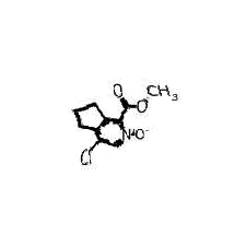 COC(=O)c1c2c(c(Cl)c[n+]1[O-])CCC2